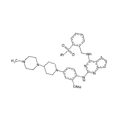 COc1cc(N2CCC(N3CCN(C)CC3)CC2)ccc1Nc1nc(NCc2ccccc2S(=O)(=O)C(C)C)c2sccc2n1